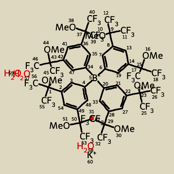 COC(c1cc([B-](c2cc(C(OC)(C(F)(F)F)C(F)(F)F)cc(C(OC)(C(F)(F)F)C(F)(F)F)c2)(c2cc(C(OC)(C(F)(F)F)C(F)(F)F)cc(C(OC)(C(F)(F)F)C(F)(F)F)c2)c2cc(C(OC)(C(F)(F)F)C(F)(F)F)cc(C(OC)(C(F)(F)F)C(F)(F)F)c2)cc(C(OC)(C(F)(F)F)C(F)(F)F)c1)(C(F)(F)F)C(F)(F)F.O.O.O.[K+]